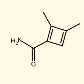 CC1=CC(C(N)=O)=C1C